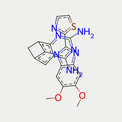 COc1cc2nc(-c3nccs3)n(-c3c4cc5c(N)nc(N)nc5c3C4)c2cc1OC